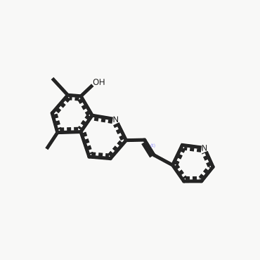 Cc1cc(C)c2ccc(/C=C/c3cccnc3)nc2c1O